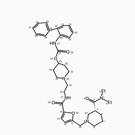 CCN(CC)C(=O)[C@@H]1CCCN(Cc2ccc(C(=O)NCCN3CCC(OC(=O)Nc4ccccc4-c4ccccc4)CC3)o2)C1